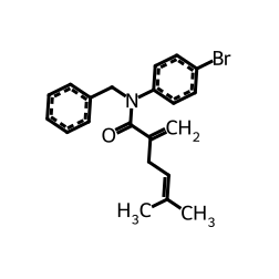 C=C(CC=C(C)C)C(=O)N(Cc1ccccc1)c1ccc(Br)cc1